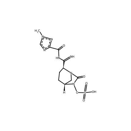 Cn1cnc(C(=O)NC(=N)[C@@H]2CC[C@@H]3CN2C(=O)N3OS(=O)(=O)O)n1